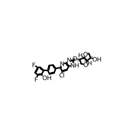 Oc1c(F)cc(F)cc1-c1ccc(-c2nc3nc(O[C@@H]4CO[C@H]5[C@@H]4OC[C@H]5O)[nH]c3cc2Cl)cc1